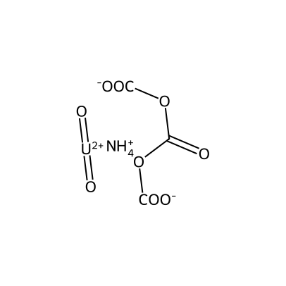 O=C([O-])OC(=O)OC(=O)[O-].[NH4+].[O]=[U+2]=[O]